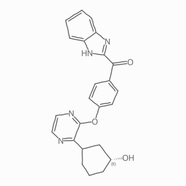 O=C(c1ccc(Oc2nccnc2C2CCC[C@@H](O)C2)cc1)c1nc2ccccc2[nH]1